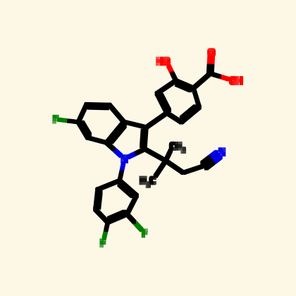 CC(C)(CC#N)c1c(-c2ccc(C(=O)O)c(O)c2)c2ccc(F)cc2n1-c1ccc(F)c(F)c1